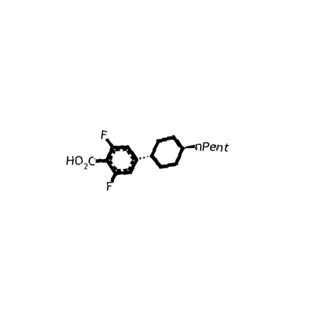 CCCCC[C@H]1CC[C@H](c2cc(F)c(C(=O)O)c(F)c2)CC1